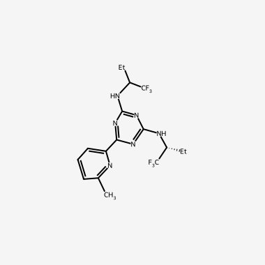 CCC(Nc1nc(N[C@H](CC)C(F)(F)F)nc(-c2cccc(C)n2)n1)C(F)(F)F